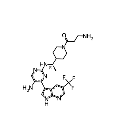 C[C@@H](Nc1ncc(N)c(-c2c[nH]c3ncc(C(F)(F)F)cc23)n1)C1CCN(C(=O)CCN)CC1